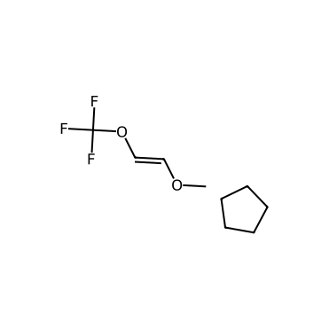 C1CCCC1.COC=COC(F)(F)F